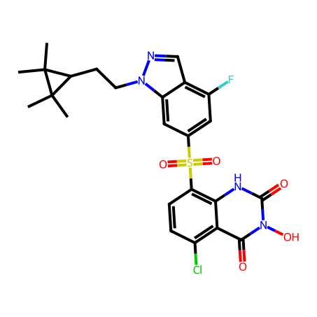 CC1(C)C(CCn2ncc3c(F)cc(S(=O)(=O)c4ccc(Cl)c5c(=O)n(O)c(=O)[nH]c45)cc32)C1(C)C